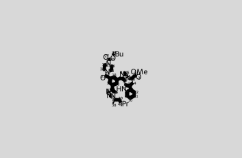 COC(=O)[C@H](Cc1c[nH]c2ccccc12)n1cc(-c2cc(C(=O)N3CCN(C(=O)OC(C)(C)C)CC3)cc(-c3cn([C@H](C)CC(C)C)nn3)c2)nn1